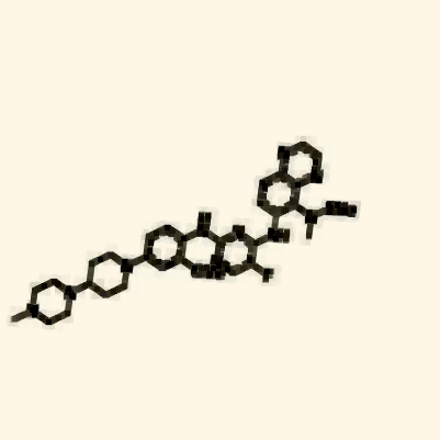 COc1cc(N2CCC(N3CCN(C)CC3)CC2)ccc1Nc1ncc(F)c(Nc2ccc3nccnc3c2N(C)SC)n1